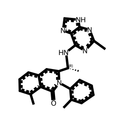 Cc1nc(N[C@H](C)c2cc3cccc(C)c3c(=O)n2-c2ccccc2C)c2nc[nH]c2n1